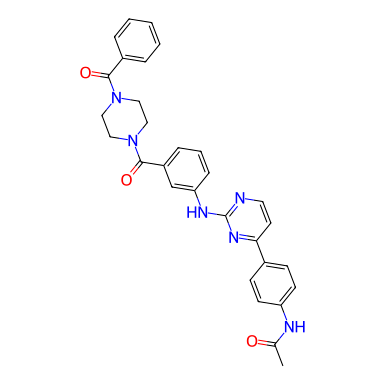 CC(=O)Nc1ccc(-c2ccnc(Nc3cccc(C(=O)N4CCN(C(=O)c5ccccc5)CC4)c3)n2)cc1